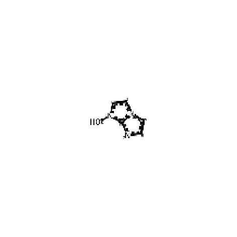 On1ccn2ccnc12